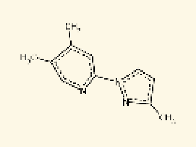 Cc1ccn(-c2cc(C)c(C)cn2)n1